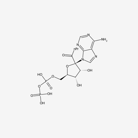 CCCC(=O)[C@@]1(n2cnc3c(N)ncnc32)O[C@H](COP(=O)(O)OP(=O)(O)O)[C@@H](O)[C@H]1O